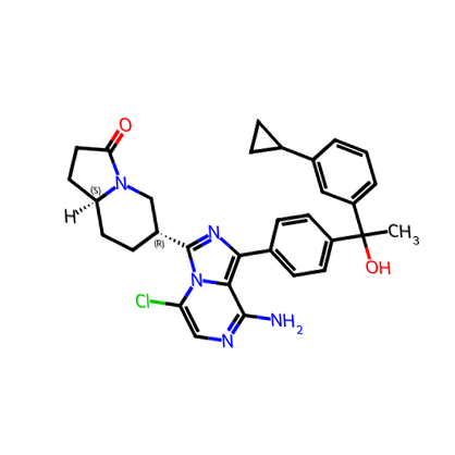 CC(O)(c1ccc(-c2nc([C@@H]3CC[C@H]4CCC(=O)N4C3)n3c(Cl)cnc(N)c23)cc1)c1cccc(C2CC2)c1